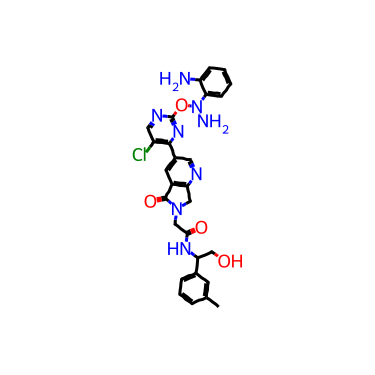 Cc1cccc(C(CO)NC(=O)CN2Cc3ncc(-c4nc(ON(N)c5ccccc5N)ncc4Cl)cc3C2=O)c1